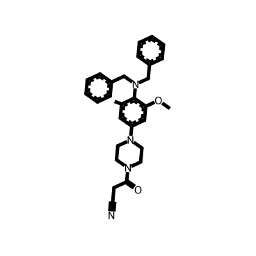 COc1cc(N2CCN(C(=O)CC#N)CC2)cc(C)c1N(Cc1ccccc1)Cc1ccccc1